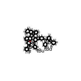 CC(C)(C)c1ccc(N(c2ccc3c(c2)c2cc(N(c4ccc(C(C)(C)C)cc4)c4cccc5c4oc4c(F)cccc45)cc4c2n3-c2ccccc2C42c3ccc4ccccc4c3-c3c2ccc2ccccc32)c2cccc3c2oc2c(F)cccc23)cc1